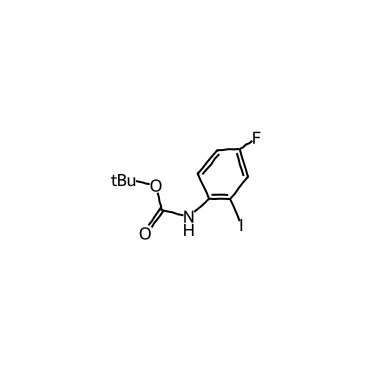 CC(C)(C)OC(=O)Nc1ccc(F)cc1I